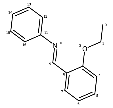 CCOc1ccccc1C=Nc1ccccc1